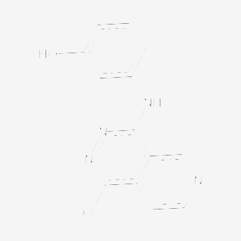 Oc1cccc(Nc2nnc(Cl)c3ccncc23)c1